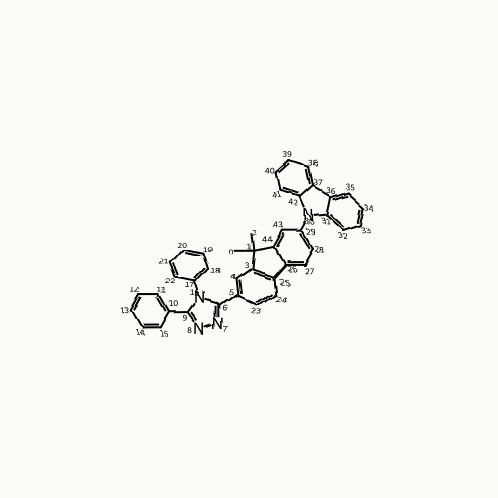 CC1(C)c2cc(-c3nnc(-c4ccccc4)n3-c3ccccc3)ccc2-c2ccc(-n3c4ccccc4c4ccccc43)cc21